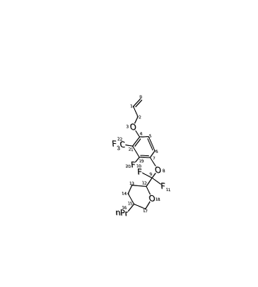 C=CCOc1ccc(OC(F)(F)C2CCC(CCC)CO2)c(F)c1C(F)(F)F